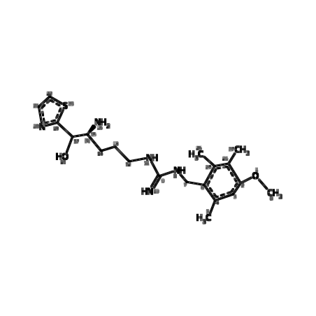 COc1cc(C)c(CNC(=N)NCCC[C@H](N)C(O)c2nccs2)c(C)c1C